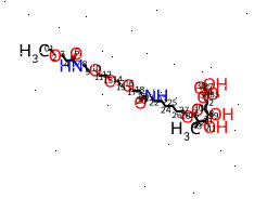 CCOCCC(=O)NCCOCCOCCOCCC(=O)NCCCCCCOC1OC(COS(=O)(=O)O)C(O)C(O)C1C